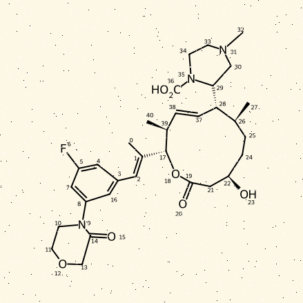 C/C(=C\c1cc(F)cc(N2CCOCC2=O)c1)[C@H]1OC(=O)C[C@H](O)CC[C@H](C)[C@@H](C2CN(C)CCN2C(=O)O)/C=C/[C@@H]1C